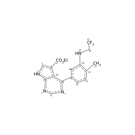 CCOC(=O)c1c[nH]c2ncnc(-c3ccc(C)c(NCC(F)(F)F)c3)c12